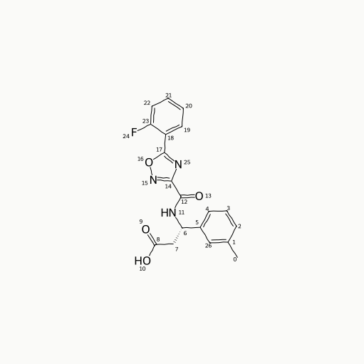 Cc1cccc([C@H](CC(=O)O)NC(=O)c2noc(-c3ccccc3F)n2)c1